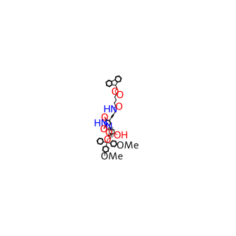 COc1ccc(C(OC[C@H]2O[C@@H](n3cc(C#CCNC(=O)CCCC(=O)OCC4c5ccccc5-c5ccccc54)c(=O)[nH]c3=O)CC2O)(c2ccccc2)c2ccc(OC)cc2)cc1